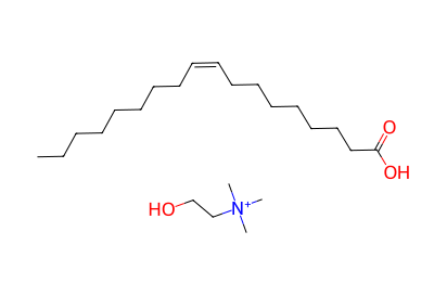 CCCCCCCC/C=C\CCCCCCCC(=O)O.C[N+](C)(C)CCO